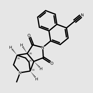 CN1C[C@@H]2CC[C@H]1[C@@H]1C(=O)N(c3ccc(C#N)c4ccccc34)C(=O)[C@H]21